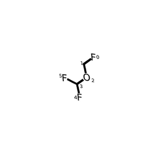 FCOC(F)F